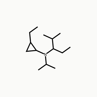 CCC1CC1N(C(C)C)C(CC)C(C)C